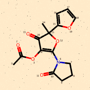 CC(=O)OC1=C(N2CCCC2=O)OC(C)(c2ccco2)C1=O